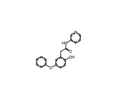 O=C(Cc1cc(Oc2ccccc2)ccc1O)Nc1cccnc1